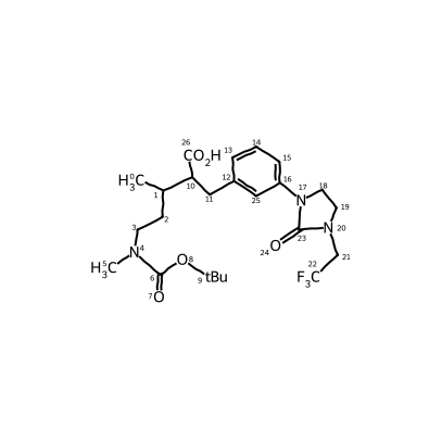 CC(CCN(C)C(=O)OC(C)(C)C)C(Cc1cccc(N2CCN(CC(F)(F)F)C2=O)c1)C(=O)O